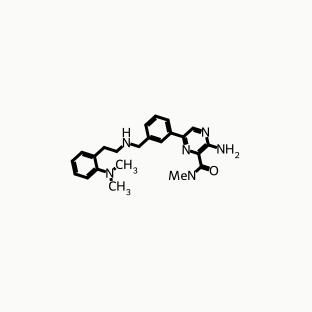 CNC(=O)c1nc(-c2cccc(CNCCc3ccccc3N(C)C)c2)cnc1N